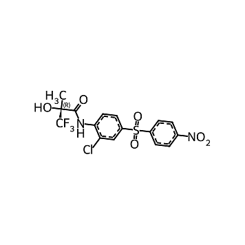 C[C@@](O)(C(=O)Nc1ccc(S(=O)(=O)c2ccc([N+](=O)[O-])cc2)cc1Cl)C(F)(F)F